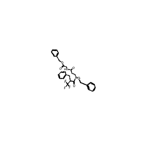 O=C(CCN(OCc1ccccc1)C(=O)C(Cc1ccccc1)C(F)(F)F)NCC(=O)OCc1ccccc1